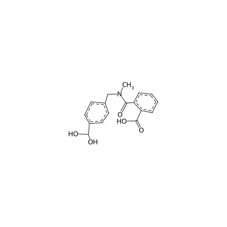 CN(Cc1ccc(C(O)O)cc1)C(=O)c1ccccc1C(=O)O